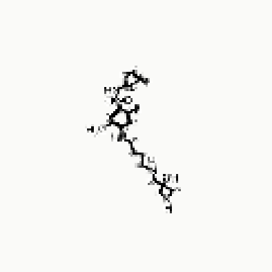 Cc1cc(S(=O)(=O)Nc2ncc(F)s2)c(F)cc1NCCCCNCC1(O)CNC1